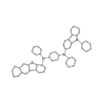 c1ccc(N(c2ccc(N(c3ccccc3)c3cccc4c3sc3cc5ccccc5cc34)cc2)c2ccc3c4ccccc4n(-c4ccccc4)c3c2)cc1